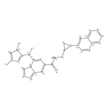 Cc1cc(N(C)c2cc(C(=O)NCC3CC3c3ccc4ccccc4n3)nc3ccnn23)n(C)n1